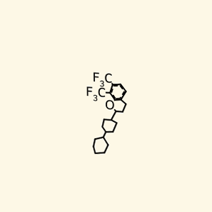 FC(F)(F)c1ccc2c(c1C(F)(F)F)OC(C1CCC(C3CCCCC3)CC1)CC2